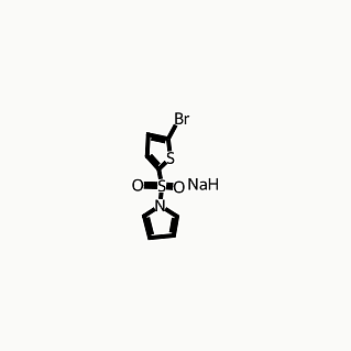 O=S(=O)(c1ccc(Br)s1)n1cccc1.[NaH]